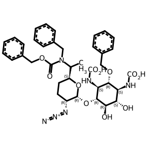 CC([C@@H]1CC[C@@H](N=[N+]=[N-])[C@@H](O[C@H]2[C@H](O)[C@@H](O)[C@H](NC(=O)O)[C@@H](OCc3ccccc3)[C@@H]2NC(=O)O)O1)N(Cc1ccccc1)C(=O)OCc1ccccc1